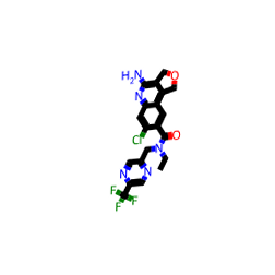 CCN(Cc1cnc(C(F)(F)F)cn1)C(=O)c1cc2c3c(c(N)nc2cc1Cl)COC3